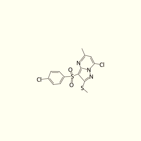 CSc1nn2c(Cl)cc(C)nc2c1S(=O)(=O)c1ccc(Cl)cc1